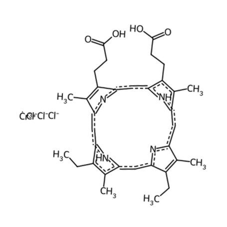 CCC1=C(C)c2cc3[nH]c(cc4nc(cc5[nH]c(cc1n2)c(C)c5CC)C(C)=C4CCC(=O)O)c(CCC(=O)O)c3C.[Cl-].[Cl-].[Cl-].[Cr+3]